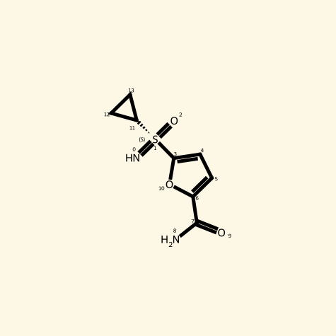 N=[S@@](=O)(c1ccc(C(N)=O)o1)C1CC1